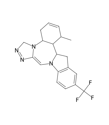 CC1C=CCC2C1C1Cc3cc(C(F)(F)F)ccc3N1C=C1N=NCN12